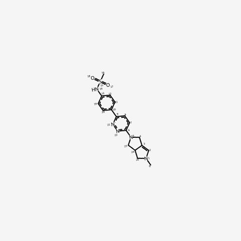 CN1C=C2CN(c3ccc(-c4ccc(NS(C)(=O)=O)cc4)nn3)CC2C1